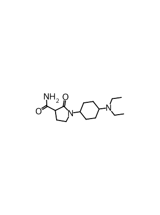 CCN(CC)C1CCC(N2CCC(C(N)=O)C2=O)CC1